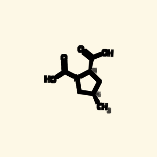 C[C@@H]1C[C@H](C(=O)O)N(C(=O)O)C1